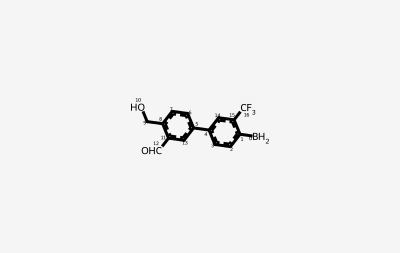 Bc1ccc(-c2ccc(CO)c(C=O)c2)cc1C(F)(F)F